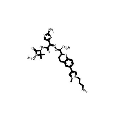 CON1C(=O)[C@@H](NC(=O)/C(=N\O[C@@H](C(=O)O)C2CCc3cc(-c4cn(CCCN)[n+](C)c4)ccc3O2)c2csc(N)n2)C1(C)C